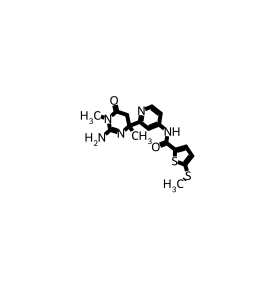 CSc1ccc(C(=O)Nc2ccnc(C3(C)CC(=O)N(C)C(N)=N3)c2)s1